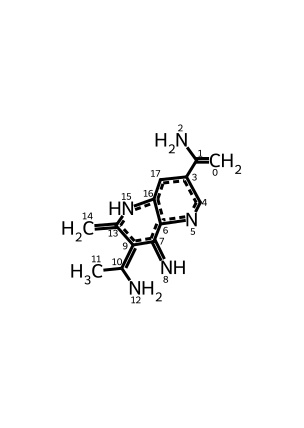 C=C(N)c1cnc2c(=N)/c(=C(/C)N)c(=C)[nH]c2c1